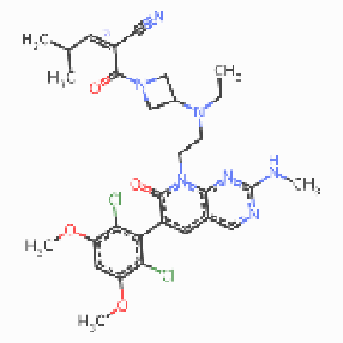 CCN(CCn1c(=O)c(-c2c(Cl)c(OC)cc(OC)c2Cl)cc2cnc(NC)nc21)C1CN(C(=O)/C(C#N)=C\C(C)C)C1